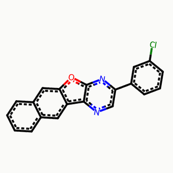 Clc1cccc(-c2cnc3c(n2)oc2cc4ccccc4cc23)c1